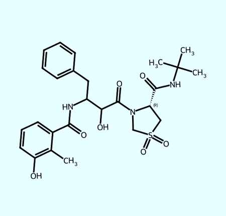 Cc1c(O)cccc1C(=O)NC(Cc1ccccc1)C(O)C(=O)N1CS(=O)(=O)C[C@H]1C(=O)NC(C)(C)C